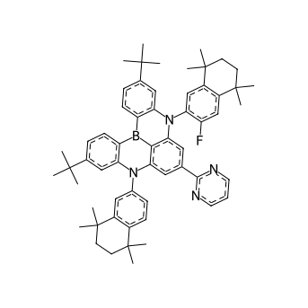 CC(C)(C)c1ccc2c(c1)N(c1ccc3c(c1)C(C)(C)CCC3(C)C)c1cc(-c3ncccn3)cc3c1B2c1ccc(C(C)(C)C)cc1N3c1cc2c(cc1F)C(C)(C)CCC2(C)C